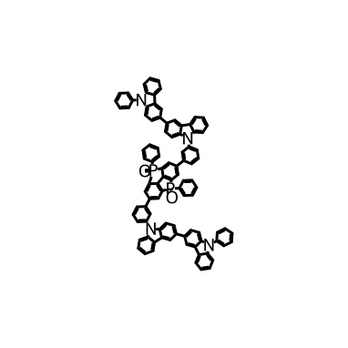 O=P1(c2ccccc2)c2cc(-c3cccc(-n4c5ccccc5c5cc(-c6ccc7c(c6)c6ccccc6n7-c6ccccc6)ccc54)c3)cc3c2-c2c1cc(-c1cccc(-n4c5ccccc5c5cc(-c6ccc7c(c6)c6ccccc6n7-c6ccccc6)ccc54)c1)cc2P3(=O)c1ccccc1